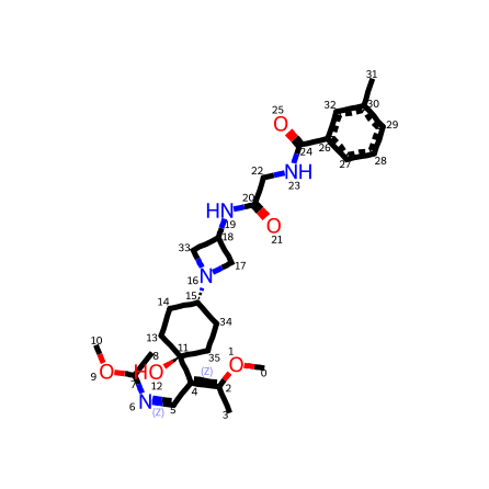 CO/C(C)=C(/C=N\C(C)OC)[C@]1(O)CC[C@H](N2CC(NC(=O)CNC(=O)c3cccc(C)c3)C2)CC1